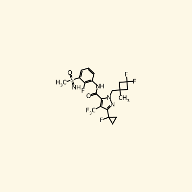 CC1(Cn2nc(C3(F)CC3)c(C(F)(F)F)c2C(=O)Nc2cccc(S(C)(=N)=O)c2F)CC(F)(F)C1